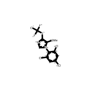 CSc1c(SC(F)(F)Cl)ncn1-c1c(Cl)cc(Cl)cc1Cl